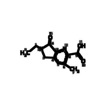 CCN1Cc2cc(C)c(C(=O)O)nc2C1=O